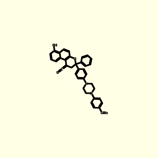 COc1ccc(N2CCN(c3ccc(C4(c5ccccc5)CC(=C=O)c5c(ccc6c(O)cccc56)O4)cc3)CC2)cc1